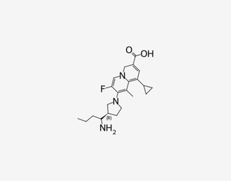 CCCC(N)[C@@H]1CCN(C2=C(C)C3=C(C4CC4)C=C(C(=O)O)CN3C=C2F)C1